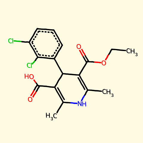 CCOC(=O)C1=C(C)NC(C)=C(C(=O)O)C1c1cccc(Cl)c1Cl